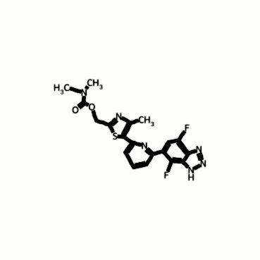 Cc1nc(COC(=O)N(C)C)sc1-c1cccc(-c2cc(F)c3nn[nH]c3c2F)n1